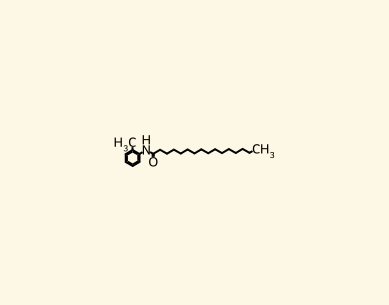 CCCCCCCCCCCCCCCC(=O)Nc1ccccc1C